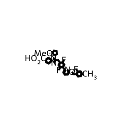 CO[C@@H]1CCC[C@@H]1n1c(Cc2cc(F)c(-c3cccc(OCc4ccc(C)cc4F)n3)cc2F)nc2ccc(C(=O)O)cc21